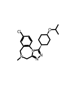 CC(C)O[C@H]1CC[C@@H](c2nnc3n2-c2ccc(Cl)cc2CN(C)C3)CC1